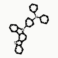 c1ccc(N(c2ccccc2)c2ccc(-n3c4ccccc4c4c5sc6ccccc6c5ccc43)cc2)cc1